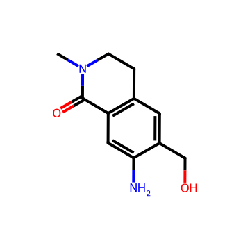 CN1CCc2cc(CO)c(N)cc2C1=O